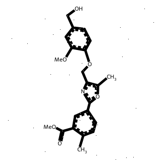 COC(=O)c1cc(-c2nc(COc3ccc(CO)cc3OC)c(C)o2)ccc1C